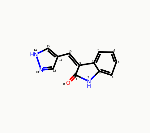 O=C1Nc2ccccc2/C1=C/c1cn[nH]c1